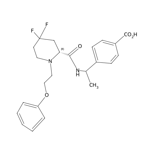 CC(NC(=O)[C@H]1CC(F)(F)CCN1CCOc1ccccc1)c1ccc(C(=O)O)cc1